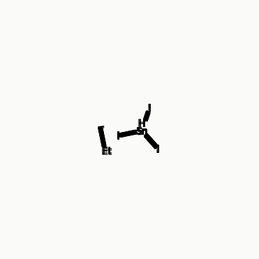 [CH2]CC.[I][SnH]([I])[I]